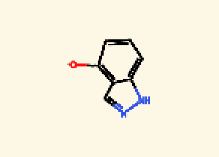 [O]c1cccc2[nH]ncc12